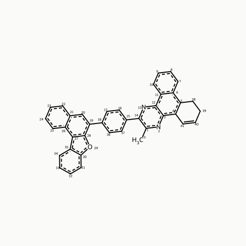 Cc1nc2c3c(c4ccccc4c2nc1-c1ccc(-c2cc4ccccc4c4c2oc2ccccc24)cc1)CCC=C3